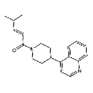 CC(C)/C=C/C(=O)N1CCC(c2ccnc3ccccc23)CC1